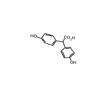 O=C(O)C(c1ccc(O)cc1)c1ccc(O)cc1